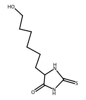 O=C1NC(=S)NC1CCCCCCO